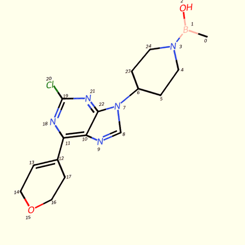 CB(O)N1CCC(n2cnc3c(C4=CCOCC4)nc(Cl)nc32)CC1